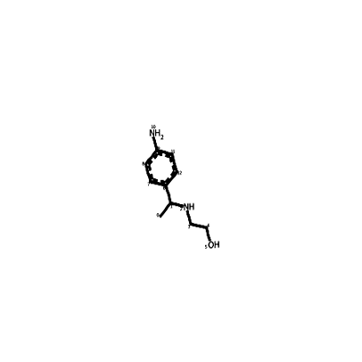 CC(NCCO)c1ccc(N)cc1